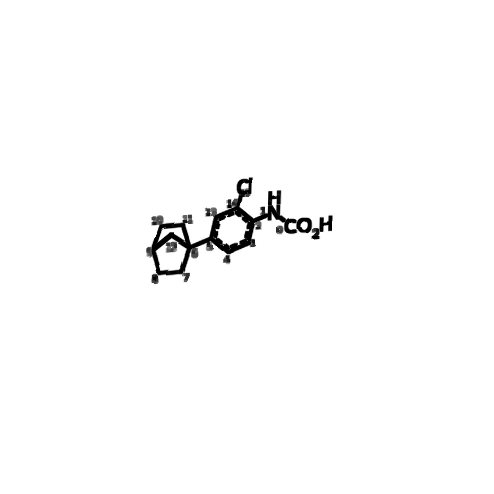 O=C(O)Nc1ccc(C23CCC(CC2)C3)cc1Cl